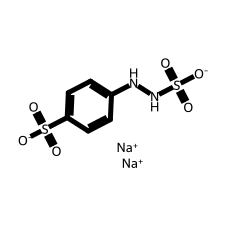 O=S(=O)([O-])NNc1ccc(S(=O)(=O)[O-])cc1.[Na+].[Na+]